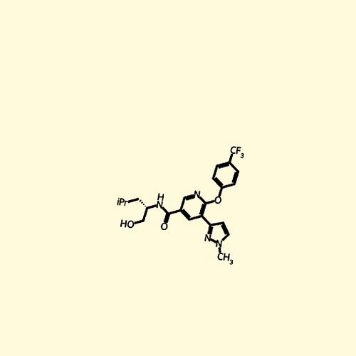 CC(C)C[C@@H](CO)NC(=O)c1cnc(Oc2ccc(C(F)(F)F)cc2)c(-c2ccn(C)n2)c1